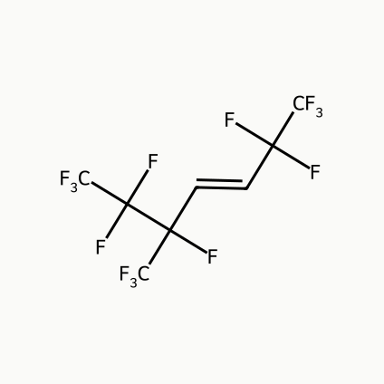 FC(F)(F)C(F)(F)C=CC(F)(C(F)(F)F)C(F)(F)C(F)(F)F